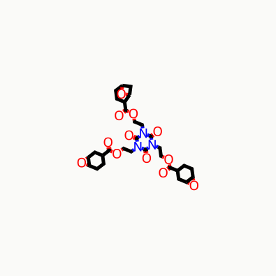 O=C(OCCn1c(=O)n(CCOC(=O)C2CCC3OC3C2)c(=O)n(CCOC(=O)C2CCC3CC2O3)c1=O)C1CCC2OC2C1